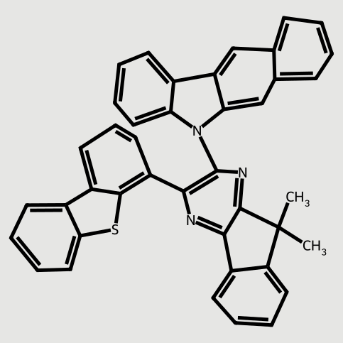 CC1(C)c2ccccc2-c2nc(-c3cccc4c3sc3ccccc34)c(-n3c4ccccc4c4cc5ccccc5cc43)nc21